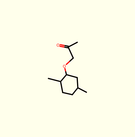 CC(=O)COC1CC(C)CCC1C